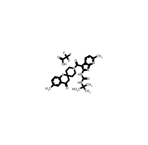 Cc1ccc2c(c1)C(=O)CC1(CCN(C(=O)c3c(NC(=O)NC(C)(C)C(=O)O)sc4nc(C)ccc34)CC1)S2.O=C(O)C(F)(F)F